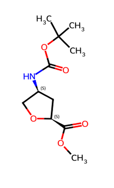 COC(=O)[C@@H]1C[C@H](NC(=O)OC(C)(C)C)CO1